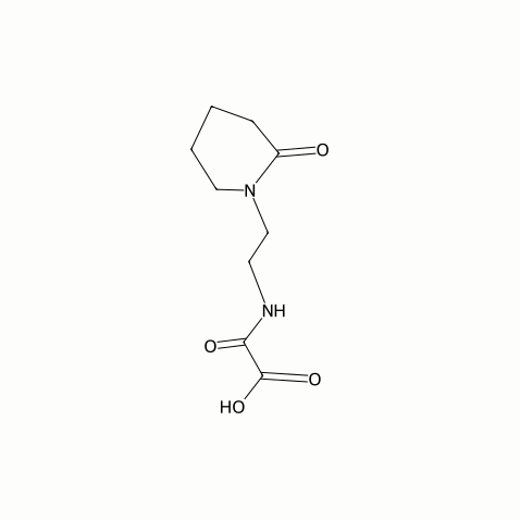 O=C(O)C(=O)NCCN1CCCCC1=O